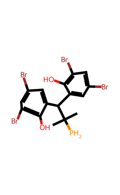 CC(C)(P)C(c1cc(Br)cc(Br)c1O)c1cc(Br)cc(Br)c1O